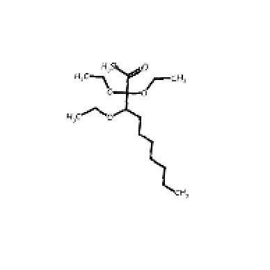 CCCCCCCC(OCC)C(OCC)(OCC)C(=O)[SiH3]